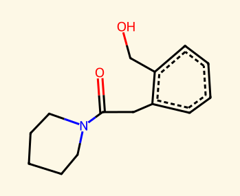 O=C(Cc1ccccc1CO)N1CCCCC1